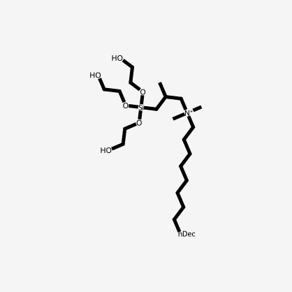 CCCCCCCCCCCCCCCCCC[N+](C)(C)CC(C)C[Si](OCCO)(OCCO)OCCO